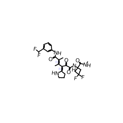 CNC(=O)C1(NC(=O)C(=O)C(=C2\CCCN2)/C(C)=C(\C)C(=O)Nc2cccc(C(F)F)c2)CC(F)(F)C1